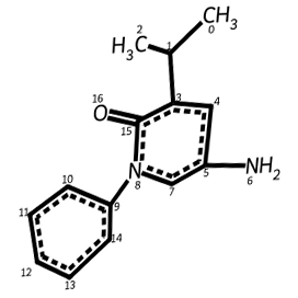 CC(C)c1cc(N)cn(-c2ccccc2)c1=O